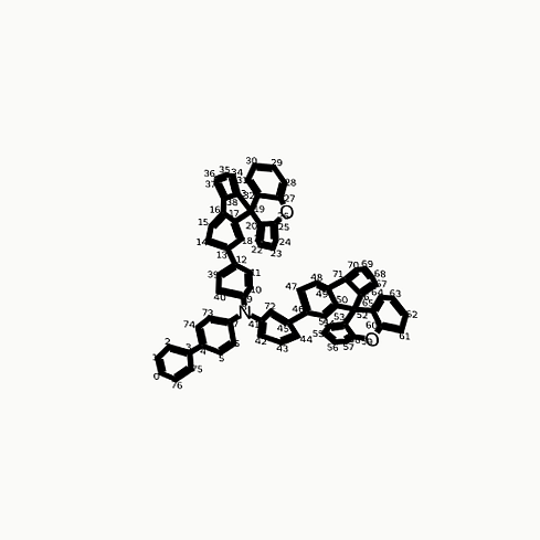 c1ccc(-c2ccc(N(c3ccc(-c4ccc5c(c4)C4(c6ccccc6Oc6ccccc64)c4ccccc4-5)cc3)c3cccc(-c4ccc5c(c4)C4(c6ccccc6Oc6ccccc64)c4ccccc4-5)c3)cc2)cc1